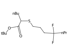 CCCCC(SCCCC(F)(F)CCC)C(=O)OC(C)(C)C